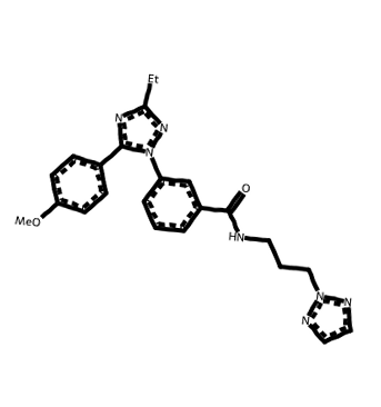 CCc1nc(-c2ccc(OC)cc2)n(-c2cccc(C(=O)NCCCn3nccn3)c2)n1